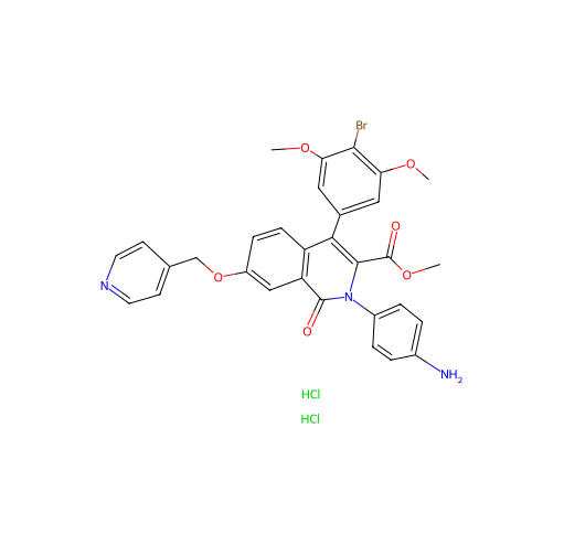 COC(=O)c1c(-c2cc(OC)c(Br)c(OC)c2)c2ccc(OCc3ccncc3)cc2c(=O)n1-c1ccc(N)cc1.Cl.Cl